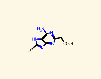 CCc1nc2nc(CC(=O)O)nc(N)c2[nH]1